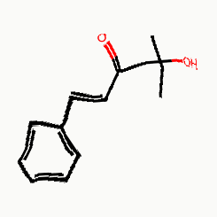 CC(C)(O)C(=O)/C=C/c1ccccc1